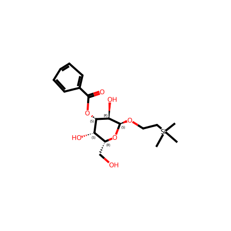 C[Si](C)(C)CCO[C@H]1O[C@H](CO)[C@H](O)[C@H](OC(=O)c2ccccc2)[C@H]1O